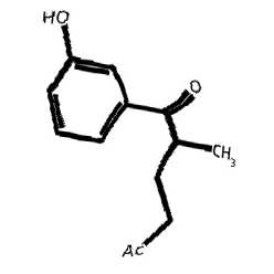 CC(=O)CCC(C)C(=O)c1cccc(O)c1